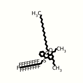 CCCCCCCCCCCCCCCCCC(=O)Oc1c(CCCC)cc(CCCC)cc1C(SCCC(F)(F)C(F)(F)C(F)(F)C(F)(F)C(F)(F)C(F)(F)C(F)(F)C(F)(F)F)c1ccccc1